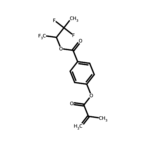 C=C(C)C(=O)Oc1ccc(C(=O)OC(C(C)(F)F)C(F)(F)F)cc1